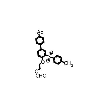 CC(=O)c1ccc(-c2ccc(OCCOC=O)c(S(=O)(=O)c3ccc(C)cc3)c2)cc1